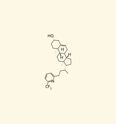 CC(CCc1cccc(C(F)(F)F)n1)[C@H]1CC[C@H]2[C@@H]3CC=C4C[C@@H](O)CC[C@]4(C)[C@H]3CC[C@]12C